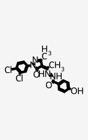 CC1=NN(c2ccc(Cl)c(Cl)c2)C(=O)/C1=C(/C)NNC(=O)c1ccc(O)cc1